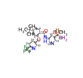 CC(C)(C)c1ccc(C(=O)Nc2cncc([SH](C)(=O)P)c2)c(Oc2ccc(C(F)(F)F)nc2)c1